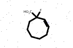 O=C(O)C1(F)/C=C\CCCCC1